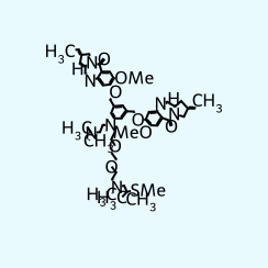 C/C=C1\C[C@H]2C=Nc3cc(OCc4cc(COc5cc6c(cc5OC)C(=O)N5C/C(=C/C)C[C@H]5C=N6)cc(N(CCOCCOCCN(C)CC(C)(C)SC)CCN(C)C)c4)c(OC)cc3C(=O)N2C1